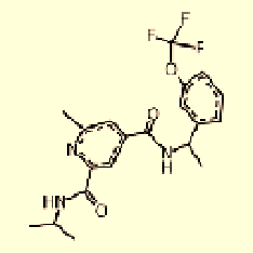 Cc1cc(C(=O)NC(C)c2cccc(OC(F)(F)F)c2)cc(C(=O)NC(C)C)n1